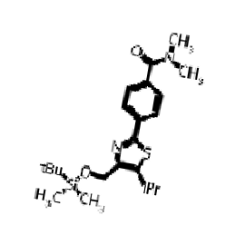 CC(C)c1sc(-c2ccc(C(=O)N(C)C)cc2)nc1CO[Si](C)(C)C(C)(C)C